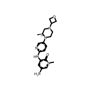 Bc1cc(Nc2ccc(N3CCN(C4COC4)C[C@@H]3C)cn2)c(=O)n(C)c1